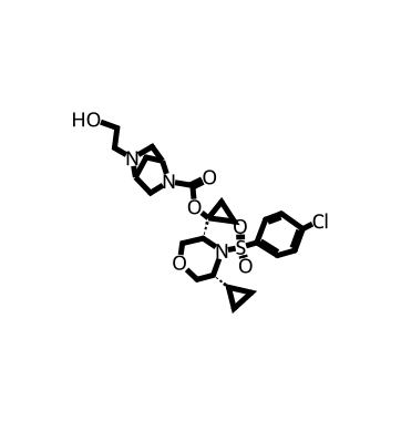 O=C(OC1([C@H]2COC[C@@H](C3CC3)N2S(=O)(=O)c2ccc(Cl)cc2)CC1)N1CC2CC1CN2CCO